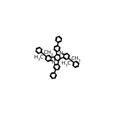 CC(C)(c1ccccc1)c1ccc2c(c1)c1c3c4ccc(-c5ccccc5)cc4n4c5ccc(C(C)(C)c6ccccc6)cc5c(c5c6ccc(-c7ccccc7)cc6n2c15)c34